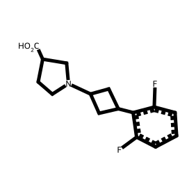 O=C(O)C1CCN(C2CC(c3c(F)cccc3F)C2)C1